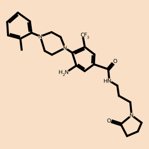 Cc1ccccc1N1CCN(c2c(N)cc(C(=O)NCCCN3CCCC3=O)cc2C(F)(F)F)CC1